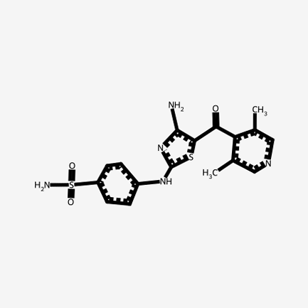 Cc1cncc(C)c1C(=O)c1sc(Nc2ccc(S(N)(=O)=O)cc2)nc1N